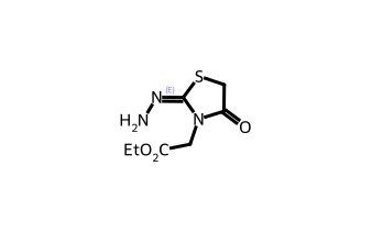 CCOC(=O)CN1C(=O)CS/C1=N/N